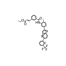 CCOC(=O)C=Cc1cccc(C(=O)Nc2cc(-c3cn4nc(-c5cccc(C(F)(F)F)n5)ccc4n3)ccc2C)c1